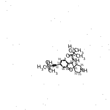 CC(C)(C)[S@@+]([O-])N[C@@H]1c2ccc(C#C[Si](C)(C)C)cc2OC12CCNCC2